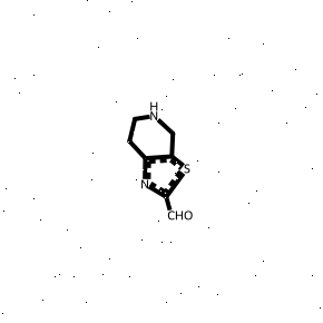 O=Cc1nc2c(s1)CNCC2